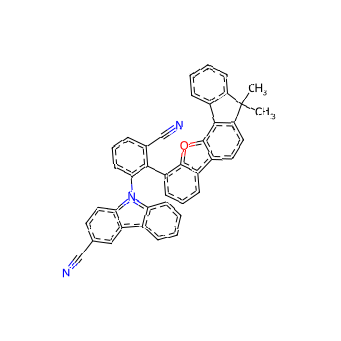 CC1(C)c2ccccc2-c2c1ccc1c2oc2c(-c3c(C#N)cccc3-n3c4ccccc4c4cc(C#N)ccc43)cccc21